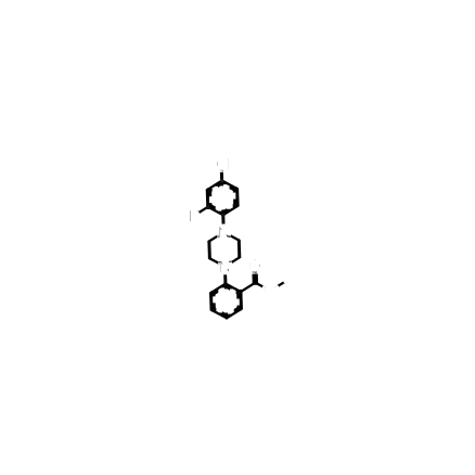 COC(=O)c1ccccc1N1CCN(c2ccc(Cl)cc2F)CC1